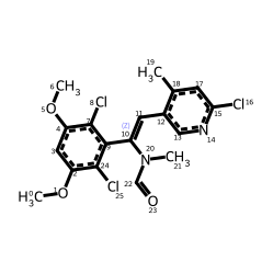 COc1cc(OC)c(Cl)c(/C(=C/c2cnc(Cl)cc2C)N(C)C=O)c1Cl